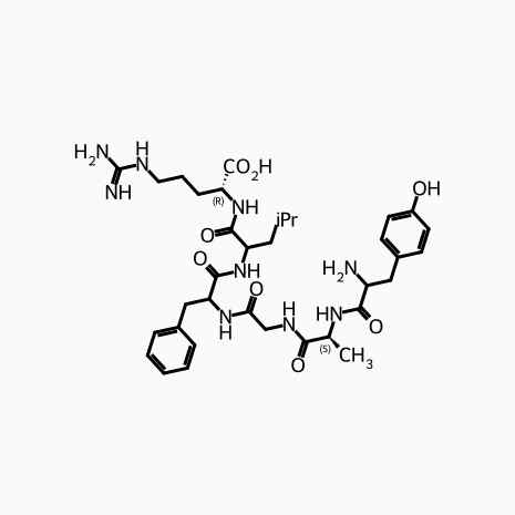 CC(C)CC(NC(=O)C(Cc1ccccc1)NC(=O)CNC(=O)[C@H](C)NC(=O)C(N)Cc1ccc(O)cc1)C(=O)N[C@H](CCCNC(=N)N)C(=O)O